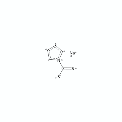 S=C([S-])n1cccc1.[Na+]